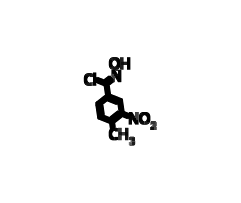 Cc1ccc(C(Cl)=NO)cc1[N+](=O)[O-]